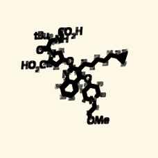 COCCN1CCC(Oc2c(CCCCCC3CC3)c(OC3C[C@@H](C(=O)O)N(C(=O)[C@@H](NC(=O)O)C(C)(C)C)C3)nc3ccccc23)CC1